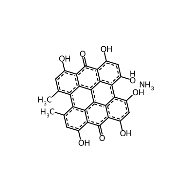 Cc1cc(O)c2c(=O)c3c(O)cc(O)c4c5c(O)cc(O)c6c(=O)c7c(O)cc(C)c8c1c2c(c34)c(c78)c65.N